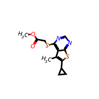 COC(=O)CSc1ncnc2sc(C3CC3)c(C)c12